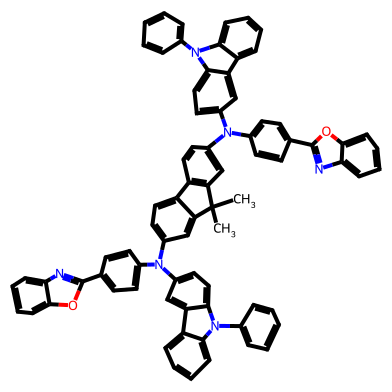 CC1(C)c2cc(N(c3ccc(-c4nc5ccccc5o4)cc3)c3ccc4c(c3)c3ccccc3n4-c3ccccc3)ccc2-c2ccc(N(c3ccc(-c4nc5ccccc5o4)cc3)c3ccc4c(c3)c3ccccc3n4-c3ccccc3)cc21